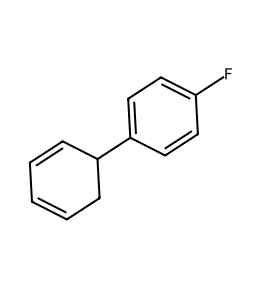 Fc1ccc(C2C=CC=CC2)cc1